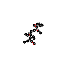 c1ccc(-c2ccc(N(c3ccc(-c4cccc(-c5ccc(-c6ccc(N(c7ccc(-c8ccccc8)cc7)c7ccc(-c8ccccc8)cc7)cc6-c6cccc7ccccc67)c6c5oc5c7ccccc7ccc56)c4)cc3)c3ccc(-c4cccc5oc6c7ccccc7ccc6c45)c(-c4ccccc4)c3)cc2)cc1